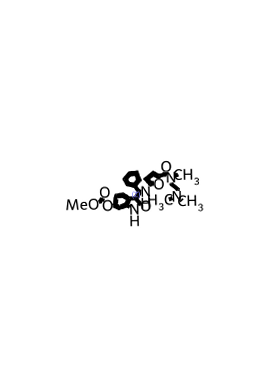 COC(=O)Oc1ccc2c(c1)NC(=O)/C2=C(\Nc1ccc(C(=O)N(C)CCN(C)C)o1)c1ccccc1